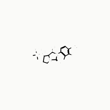 Cc1c(N2C(=O)N3CC[C@@H](O[Si](C)(C)C(C)(C)C)[C@H]3[C@H]2C(F)(F)F)ccc(C#N)c1Cl